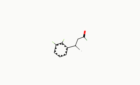 CCCC(CC(=O)Cl)c1cccc(F)c1F